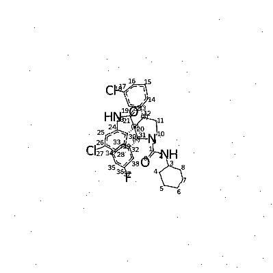 O=C(NC1CCCCC1)N1CC[C@@H](c2cccc(Cl)c2)[C@]2(C(=O)Nc3cc(Cl)ccc32)[C@H]1c1cccc(F)c1